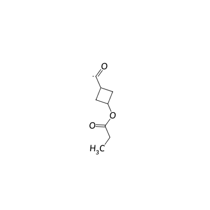 CCC(=O)OC1CC([C]=O)C1